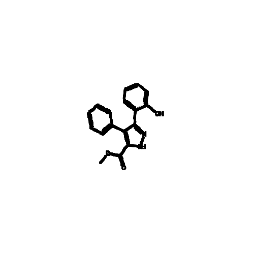 COC(=O)c1[nH]nc(-c2ccccc2O)c1-c1ccccc1